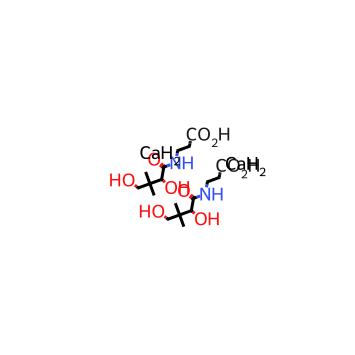 CC(C)(CO)C(O)C(=O)NCCC(=O)O.CC(C)(CO)C(O)C(=O)NCCC(=O)O.[CaH2].[CaH2]